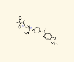 C=N/C(=N\C=C(/C)S(C)(=O)=O)N1CCN(C(C)c2ccc3c(c2)O[C@H](C)C3)CC1